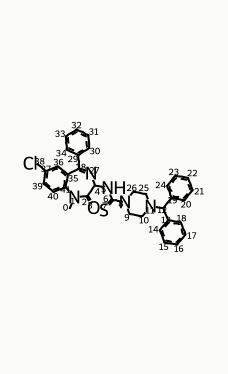 CN1C(=O)C(NC(=S)N2CCN(C(c3ccccc3)c3ccccc3)CC2)N=C(c2ccccc2)c2cc(Cl)ccc21